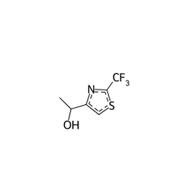 CC(O)c1csc(C(F)(F)F)n1